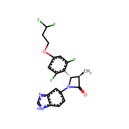 C[C@H]1C(=O)N(c2ccc3[nH]cnc3c2)[C@@H]1c1c(F)cc(OCCC(F)F)cc1F